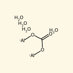 O.O.O.O.O=C([O][Al])[O][Al]